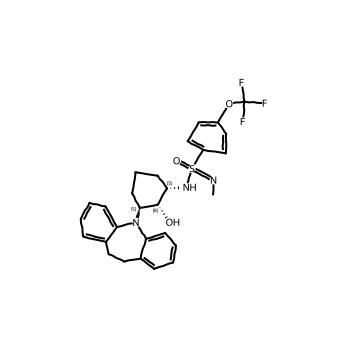 CN=S(=O)(N[C@H]1CCC[C@H](N2c3ccccc3CCc3ccccc32)[C@H]1O)c1ccc(OC(F)(F)F)cc1